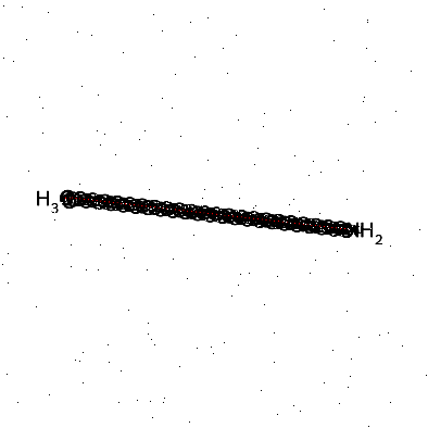 COC(=O)COCCOCCOCCOCCOCCOCCOCCOCCOCCOCCOCCOCCOCCOCCOCCOCCOCCOCCOCCOCCOCCOCCOCCOCCOCCOCCOCCOCCOCCOCCOCCOCCOCCOCCOCCOCCOCCOCCOCCOCCOCCOCCOCCOCCOCCN